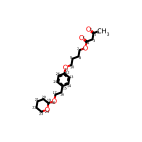 CC(=O)CC(=O)OCCCCOc1ccc(CCOC2CCCCO2)cc1